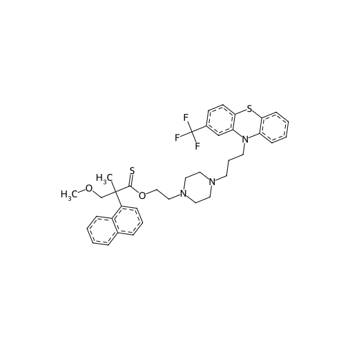 COCC(C)(C(=S)OCCN1CCN(CCCN2c3ccccc3Sc3ccc(C(F)(F)F)cc32)CC1)c1cccc2ccccc12